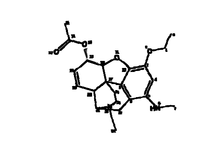 CCOc1cc(NC)c2c3c1OC1[C@@H](OC(C)=O)C=CC4C(C2)N(C)CCC341